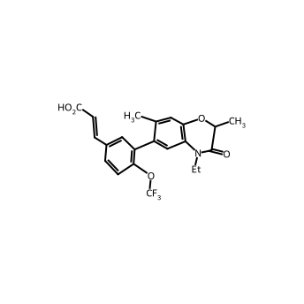 CCN1C(=O)C(C)Oc2cc(C)c(-c3cc(C=CC(=O)O)ccc3OC(F)(F)F)cc21